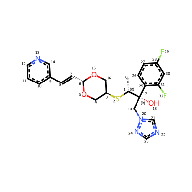 C[C@@H](S[C@H]1CO[C@H](C=Cc2cccnc2)OC1)[C@](O)(Cn1cncn1)c1ccc(F)cc1F